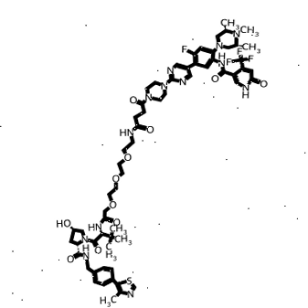 Cc1ncsc1-c1ccc(CNC(=O)[C@@H]2C[C@@H](O)CN2C(=O)[C@@H](NC(=O)COCCOCCOCCNC(=O)CCC(=O)N2CCN(c3ncc(-c4cc(NC(=O)c5c[nH]c(=O)cc5C(F)(F)F)c(N5C[C@@H](C)N(C)[C@@H](C)C5)cc4F)cn3)CC2)C(C)(C)C)cc1